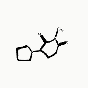 CN1C(=O)CCC(N2CCCC2)C1=O